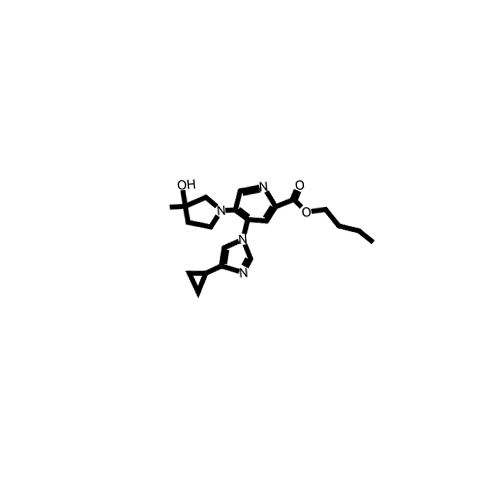 CCCCOC(=O)c1cc(-n2cnc(C3CC3)c2)c(N2CCC(C)(O)C2)cn1